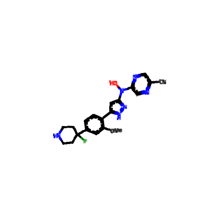 COc1cc(C2(F)CCNCC2)ccc1-c1cc(N(O)c2cnc(C#N)cn2)n[nH]1